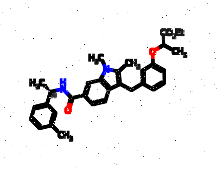 CCOC(=O)C(C)Oc1cccc(Cc2c(C)n(C)c3cc(C(=O)N[C@@H](C)c4cccc(C)c4)ccc23)c1